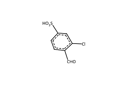 O=Cc1ccc(S(=O)(=O)O)cc1Cl